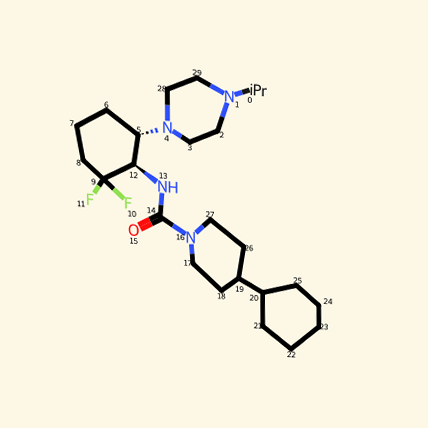 CC(C)N1CCN([C@H]2CCCC(F)(F)[C@@H]2NC(=O)N2CCC(C3CCCCC3)CC2)CC1